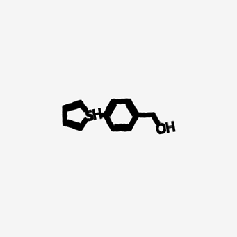 OCc1ccc([SH]2C=CC=C2)cc1